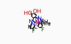 CNc1nnc(-c2cc(O)c(O)cc2-c2nc3ccc(F)cn3c2Nc2c(C)cc(F)cc2C)o1